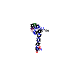 COc1cc(N2CCC(N3CCN(c4ccc(-n5ccc(=O)[nH]c5=O)cc4)CC3)CC2)c(-c2cnn(C)c2)cc1Nc1ncc(Cl)c(Nc2ccccc2P(C)(C)=O)n1